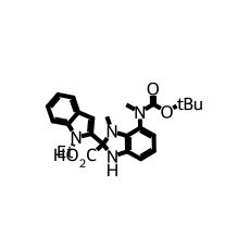 CCn1c(C2(C(=O)O)Nc3cccc(N(C)C(=O)OC(C)(C)C)c3N2C)cc2ccccc21